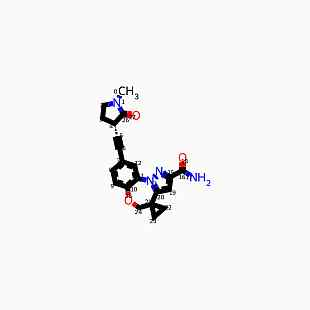 CN1CC[C@@H](C#Cc2ccc3c(c2)-n2nc(C(N)=O)cc2C2(CC2)CO3)C1=O